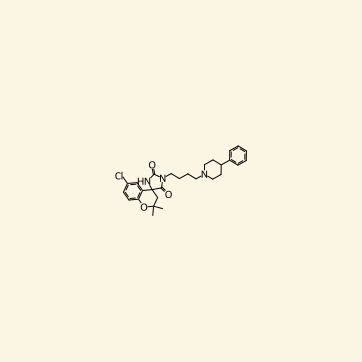 CC1(C)CC2(NC(=O)N(CCCCN3CCC(c4ccccc4)CC3)C2=O)c2cc(Cl)ccc2O1